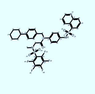 CN(CC(=O)N(Cc1ccc(C2CCCCC2)cc1)c1ccc(NS(=O)(=O)c2cccc3ncccc23)cc1)S(=O)(=O)c1c(F)c(F)c(F)c(F)c1F